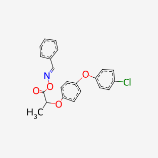 CC(Oc1ccc(Oc2ccc(Cl)cc2)cc1)C(=O)ON=Cc1ccccc1